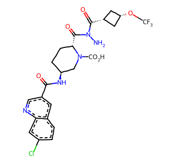 NN(C(=O)[C@H]1CC[C@H](NC(=O)c2cnc3cc(Cl)ccc3c2)CN1C(=O)O)C(=O)[C@H]1C[C@@H](OC(F)(F)F)C1